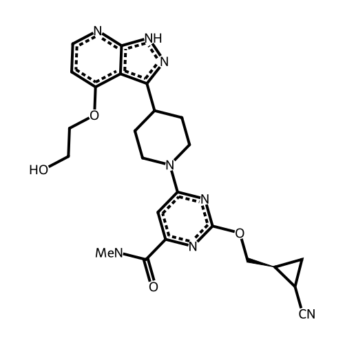 CNC(=O)c1cc(N2CCC(c3n[nH]c4nccc(OCCO)c34)CC2)nc(OC[C@H]2CC2C#N)n1